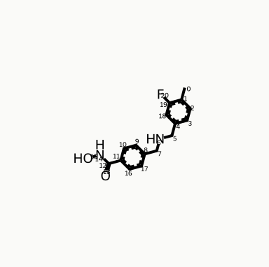 Cc1ccc(CNCc2ccc(C(=O)NO)cc2)cc1F